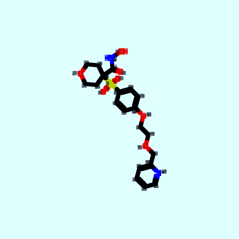 O=C(NO)C1(S(=O)(=O)c2ccc(OCCOCc3ccccn3)cc2)CCOCC1